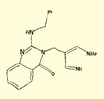 CN/C=C(\C=N)Cn1c(NCC(C)C)nc2ccccc2c1=O